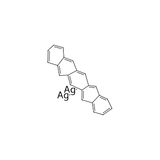 [Ag].[Ag].c1ccc2cc3cc4cc5ccccc5cc4cc3cc2c1